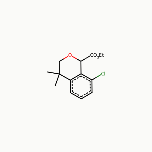 CCOC(=O)C1OCC(C)(C)c2cccc(Cl)c21